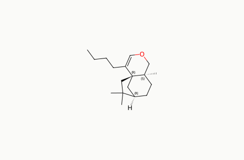 CCCCC1=COC[C@@]2(C)CC[C@@H]3C[C@]12CC3(C)C